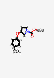 CC(C)(C)OC(=O)N1CCC(Oc2ccc([N+](=O)[O-])cc2)C1